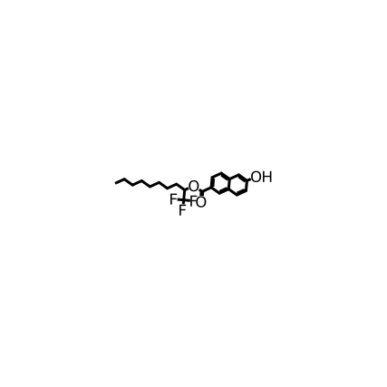 CCCCCCCCC(OC(=O)c1ccc2cc(O)ccc2c1)C(F)(F)F